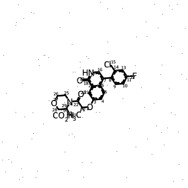 C[C@@H](Oc1ccc2c(-c3ccc(F)cc3Cl)c[nH]c(=O)c2c1)C(=O)N1CCOC[C@@H]1C(=O)O